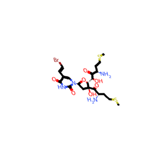 CSCC[C@H](N)C(=O)C(O)[C@H]1O[C@@H](n2cc(/C=C/Br)c(=O)[nH]c2=O)C[C@@]1(O)C(=O)[C@@H](N)CCSC